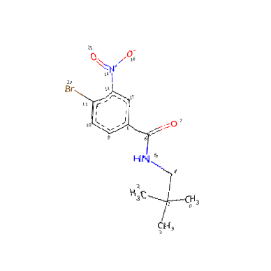 CC(C)(C)CNC(=O)c1ccc(Br)c([N+](=O)[O-])c1